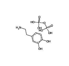 NCCc1ccc(O)c(O)c1.O=P(O)(O)OP(=O)(O)O